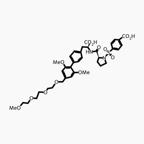 COCCOCCOCCOCc1cc(OC)c(-c2ccc(C[C@H](NC(=O)[C@@H]3CCCN3S(=O)(=O)c3ccc(C(=O)O)cc3)C(=O)O)cc2)c(OC)c1